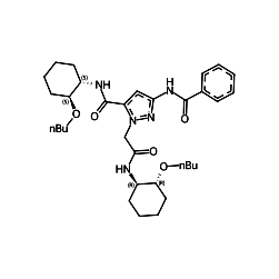 CCCCO[C@H]1CCCC[C@@H]1NC(=O)c1cc(NC(=O)c2ccccc2)nn1CC(=O)N[C@@H]1CCCC[C@H]1OCCCC